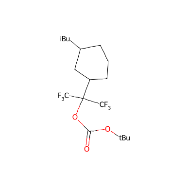 CCC(C)C1CCCC(C(OC(=O)OC(C)(C)C)(C(F)(F)F)C(F)(F)F)C1